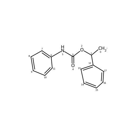 [CH2]C(OC(=O)Nc1ccccc1)c1ccccc1